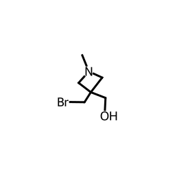 CN1CC(CO)(CBr)C1